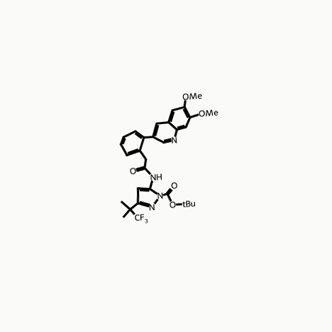 COc1cc2cc(-c3ccccc3CC(=O)Nc3cc(C(C)(C)C(F)(F)F)nn3C(=O)OC(C)(C)C)cnc2cc1OC